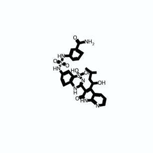 CC(C)CC(O)c1c(C2=NS(O)(O)c3cc(NS(=O)(=O)Nc4cccc(C(N)=O)c4)ccc3N2)c(=O)[nH]c2ncccc12